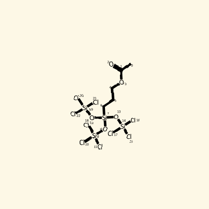 CC(=O)OCCC[Si](O[Si](Cl)(Cl)Cl)(O[Si](Cl)(Cl)Cl)O[Si](Cl)(Cl)Cl